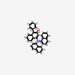 c1ccc2c(N(c3cccc4ccccc34)c3cc4oc5ccccc5c4c4ccccc34)cccc2c1